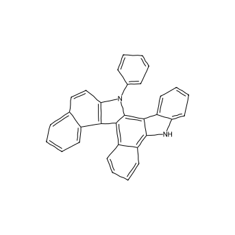 c1ccc(-n2c3ccc4ccccc4c3c3c4ccccc4c4[nH]c5ccccc5c4c32)cc1